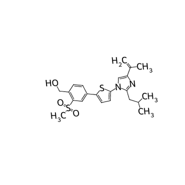 C=C(C)c1cn(-c2ccc(-c3ccc(CO)c(S(C)(=O)=O)c3)s2)c(CC(C)C)n1